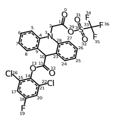 O=C(CN1c2ccccc2C(C(=O)Oc2c(Cl)cc(F)cc2Cl)c2ccccc21)OS(=O)(=O)C(F)(F)F